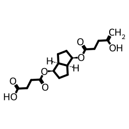 C=C(O)CCC(=O)O[C@@H]1CC[C@H]2[C@@H]1CC[C@H]2OC(=O)CCC(=O)O